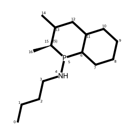 CCCCNP1C2CCCCC2CC(C)[C@@H]1C